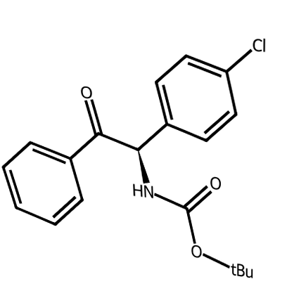 CC(C)(C)OC(=O)N[C@@H](C(=O)c1ccccc1)c1ccc(Cl)cc1